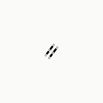 [O]=[Sn]=[O].[O]=[Sn]=[O]